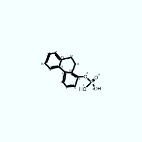 O=P(O)(O)Oc1cccc2c1CCc1ccccc1-2